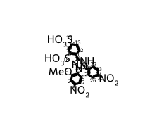 COc1cc([N+](=O)[O-])ccc1[N+]1=NC(c2ccc(S(=O)(=O)O)cc2S(=O)(=O)O)NN1c1ccc([N+](=O)[O-])cc1